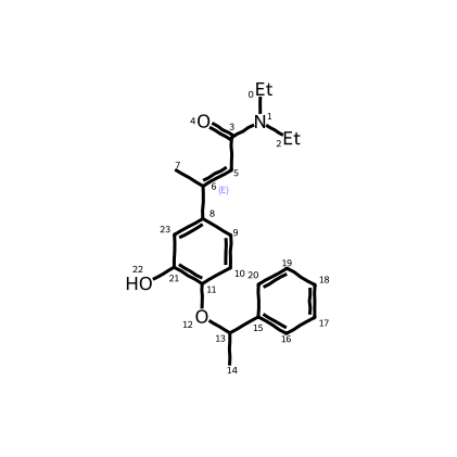 CCN(CC)C(=O)/C=C(\C)c1ccc(OC(C)c2ccccc2)c(O)c1